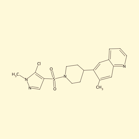 Cc1cc2ncccc2cc1C1CCN(S(=O)(=O)c2cnn(C)c2Cl)CC1